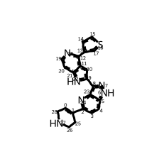 C1=C(c2ccc3[nH]nc(-c4cc5c(-c6ccsc6)nccc5[nH]4)c3n2)CCNC1